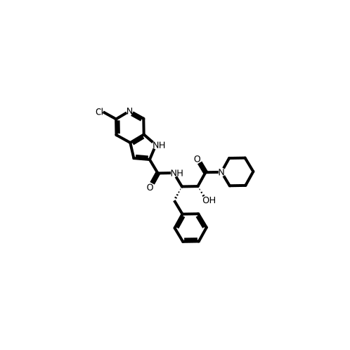 O=C(N[C@@H](Cc1ccccc1)[C@@H](O)C(=O)N1CCCCC1)c1cc2cc(Cl)ncc2[nH]1